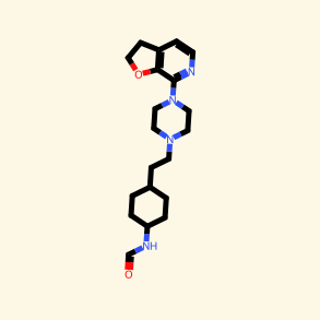 O=CNC1CCC(CCN2CCN(c3nccc4c3OCC4)CC2)CC1